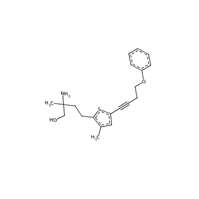 Cc1cc(C#CCCOc2ccccc2)sc1CCC(C)(N)CO